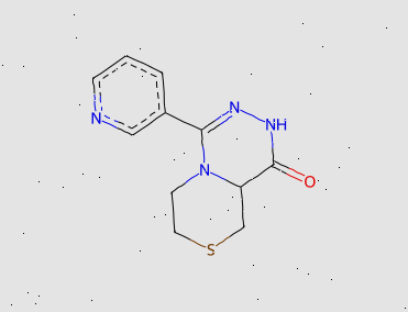 O=C1NN=C(c2cccnc2)N2CCSCC12